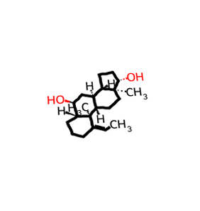 C/C=C1/CCC[C@@H]2[C@@H](O)C[C@H]3[C@@H]4CC[C@H](O)[C@@]4(C)CC[C@@H]3[C@@]12C